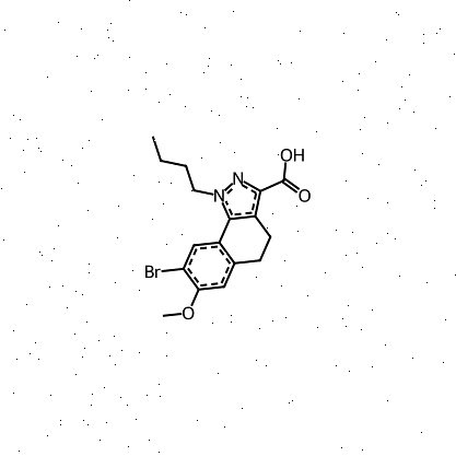 CCCCn1nc(C(=O)O)c2c1-c1cc(Br)c(OC)cc1CC2